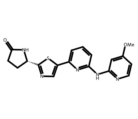 COc1ccnc(Nc2cccc(-c3cnc([C@@H]4CCC(=O)N4)s3)n2)c1